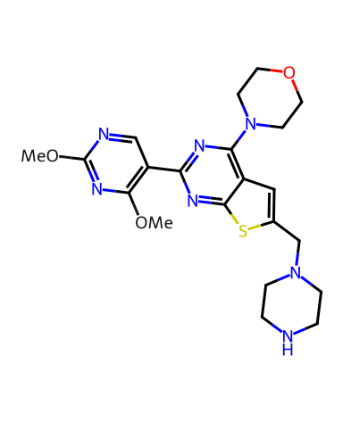 COc1ncc(-c2nc(N3CCOCC3)c3cc(CN4CCNCC4)sc3n2)c(OC)n1